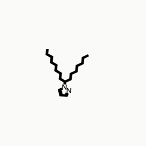 CCCCCCCCC(CCCCCCC)n1cccn1